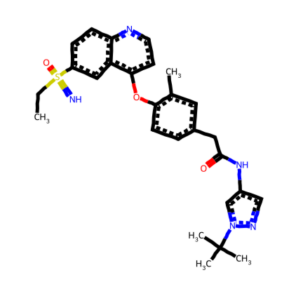 CCS(=N)(=O)c1ccc2nccc(Oc3ccc(CC(=O)Nc4cnn(C(C)(C)C)c4)cc3C)c2c1